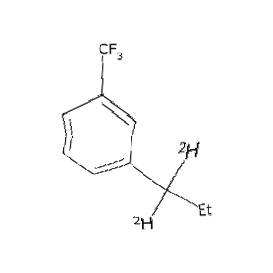 [2H]C([2H])(CC)c1cccc(C(F)(F)F)c1